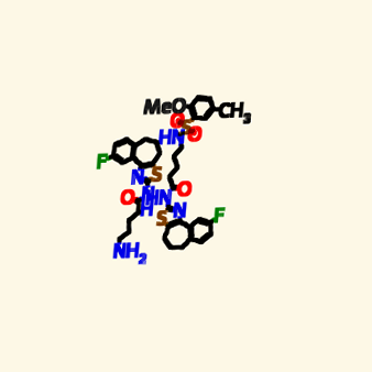 COc1ccc(C)cc1S(=O)(=O)NCCCCC(=O)Nc1nc2c(s1)CCCc1ccc(F)cc1-2.NCCCCC(=O)Nc1nc2c(s1)CCCc1ccc(F)cc1-2